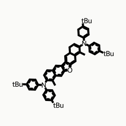 CC1=C2C=c3oc4cc5c(C)c(N(c6ccc(C(C)(C)C)cc6)c6ccc(C(C)(C)C)cc6)ccc5cc4c3=CC2CC=C1N(C1=CC=C(C(C)(C)C)CC1)c1ccc(C(C)(C)C)cc1